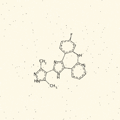 Cc1n[nH]c(C)c1-c1nc2c([nH]1)-c1cccnc1Nc1cc(F)ccc1-2